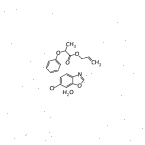 C=CCOC(=O)C(C)Oc1ccccc1.Clc1ccc2ncoc2c1.O